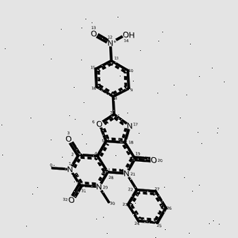 Cn1c(=O)c2c3oc(-c4ccc([N+](=O)O)cc4)nc3c(=O)n(-c3ccccc3)c2n(C)c1=O